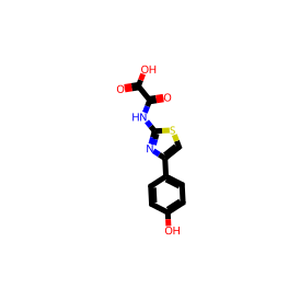 O=C(O)C(=O)Nc1nc(-c2ccc(O)cc2)cs1